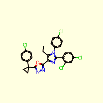 CCc1c(-c2nnc(C3(c4ccc(Cl)cc4)CC3)o2)nc(-c2ccc(Cl)cc2Cl)n1-c1ccc(Cl)cc1